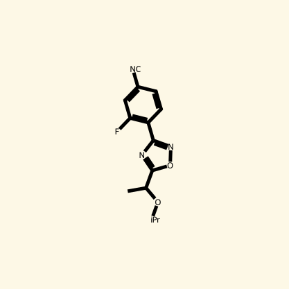 [C-]#[N+]c1ccc(-c2noc(C(C)OC(C)C)n2)c(F)c1